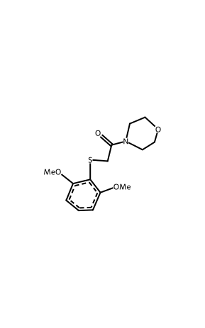 COc1cccc(OC)c1SCC(=O)N1CCOCC1